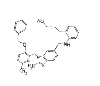 Cc1ccc(OCc2ccccc2)c(Cn2c(N)nc3ccc(CNc4ccccc4CCCO)cc32)n1